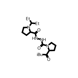 CCC(C)C(=O)C1CCCN1C(=O)NNC(=O)C1CCCN1C(CC)CC